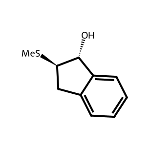 CS[C@@H]1Cc2ccccc2[C@H]1O